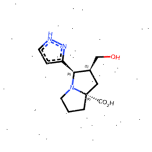 O=C(O)[C@]12CCCN1[C@@H](c1cc[nH]n1)[C@@H](CO)C2